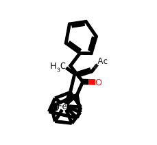 CC(=O)C=C(C)[C]12[CH]3[CH]4[CH]5[CH]1[Fe]45321678[CH]2[CH]1[CH]6[C]7(C(=O)Cc1ccccc1)[CH]28